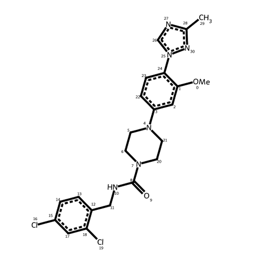 COc1cc(N2CCN(C(=O)NCc3ccc(Cl)cc3Cl)CC2)ccc1-n1cnc(C)n1